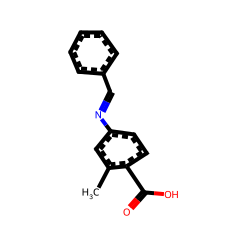 Cc1cc(N=Cc2ccccc2)ccc1C(=O)O